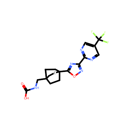 O=C(O)NCC12CCC(c3nc(-c4ncc(C(F)(F)F)cn4)no3)(CC1)CC2